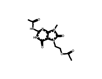 CC(=O)Nc1nc2c(c(=O)[nH]1)n(CCOC(C)=O)c(=O)n2C